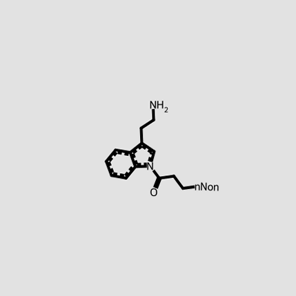 CCCCCCCCCCCC(=O)n1cc(CCN)c2ccccc21